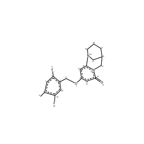 Cc1cc(F)c(COc2cc3n(c(=O)n2)CC2CCCN3C2)cc1F